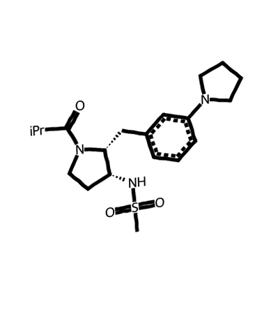 CC(C)C(=O)N1CC[C@@H](NS(C)(=O)=O)[C@H]1Cc1cccc(N2CCCC2)c1